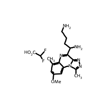 COc1cc(C)c2nc(C(N)CCCN)c3nnc(C)n3c2c1.O=C(O)C(F)F